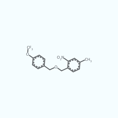 Cc1ccc(COCc2ccc(OC(F)(F)F)cc2)c([N+](=O)[O-])c1